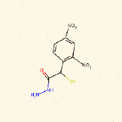 NNC(=O)C(S)c1ccc([N+](=O)[O-])cc1[N+](=O)[O-]